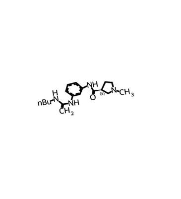 C=C(NCCCC)Nc1cccc(NC(=O)[C@H]2CCN(C)C2)c1